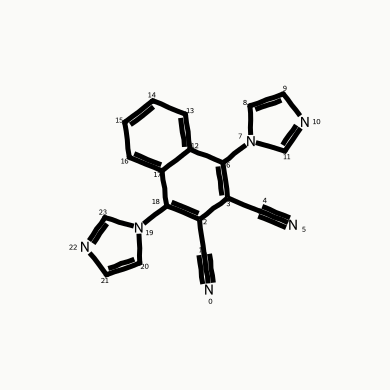 N#Cc1c(C#N)c(-n2ccnc2)c2ccccc2c1-n1ccnc1